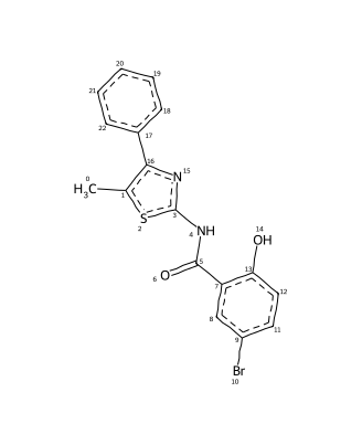 Cc1sc(NC(=O)c2cc(Br)ccc2O)nc1-c1ccccc1